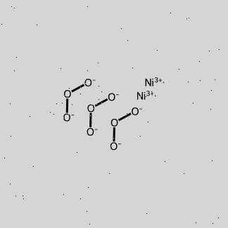 [Ni+3].[Ni+3].[O-]O[O-].[O-]O[O-].[O-]O[O-]